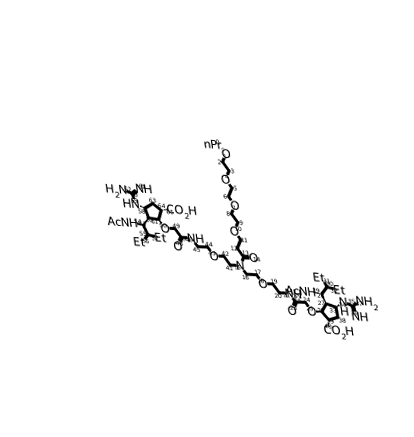 CCCOCCOCCOCCOCCC(=O)N(CCOCCNC(=O)CO[C@H]1[C@@H]([C@H](NC(C)=O)C(CC)CC)[C@H](NC(=N)N)C[C@@H]1C(=O)O)CCOCCNC(=O)CO[C@H]1[C@@H]([C@H](NC(C)=O)C(CC)CC)[C@H](NC(=N)N)C[C@@H]1C(=O)O